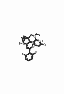 CCN(CC12CC[C@@H](c3cc(-c4c(F)cccc4F)nnc31)C2(C)C)c1cccc(=O)[nH]1